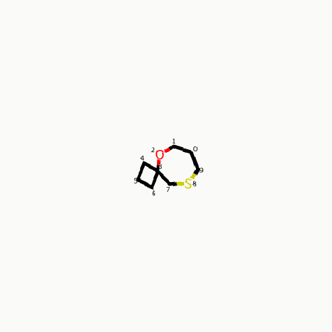 C1COC2(CCC2)CSC1